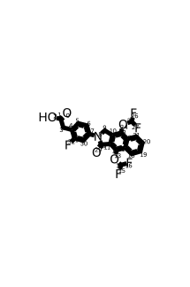 O=C(O)Cc1ccc(N2Cc3c(c(OC(F)F)c4ccccc4c3OC(F)F)C2=O)cc1F